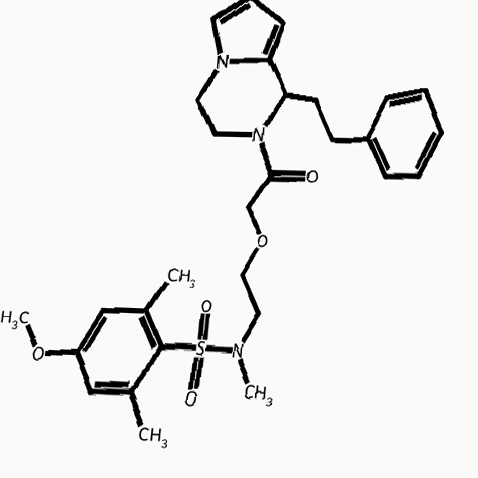 COc1cc(C)c(S(=O)(=O)N(C)CCOCC(=O)N2CCn3cccc3C2CCc2ccccc2)c(C)c1